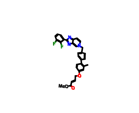 COC(=O)/C=C/COc1ccc(-c2ccc(Cn3ccc4nc(-c5cccc(F)c5F)nc-4c3)cc2)c(C)c1